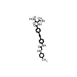 CC1CCC(NCC(=O)Nc2ccc(C#Cc3ccc(C(=O)N[C@H](C(=O)NO)[C@@H](C)O)cc3)cc2)CC1